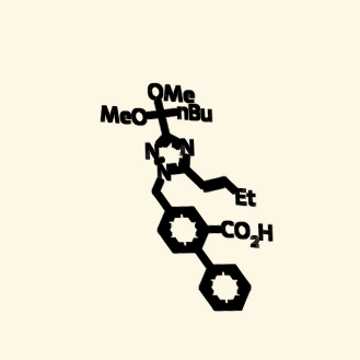 CCC=Cc1nc(C(CCCC)(OC)OC)nn1Cc1ccc(-c2ccccc2)c(C(=O)O)c1